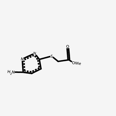 COC(=O)CSc1ccc(N)nn1